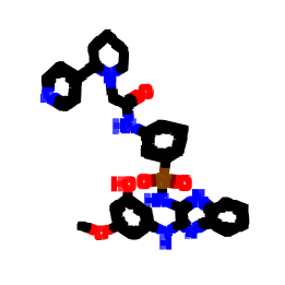 COc1cc(O)cc(Nc2nc3ccccc3nc2NS(=O)(=O)c2cccc(NC(=O)CN3CCCCC3c3ccncc3)c2)c1